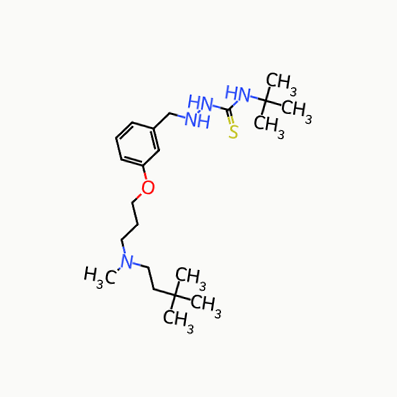 CN(CCCOc1cccc(CNNC(=S)NC(C)(C)C)c1)CCC(C)(C)C